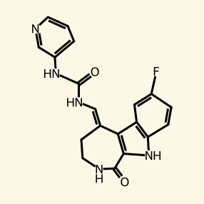 O=C(NC=C1CCNC(=O)c2[nH]c3ccc(F)cc3c21)Nc1cccnc1